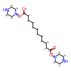 O=C(CCCCCCCCCCC(=O)ON1CCNCC1)ON1CCNCC1